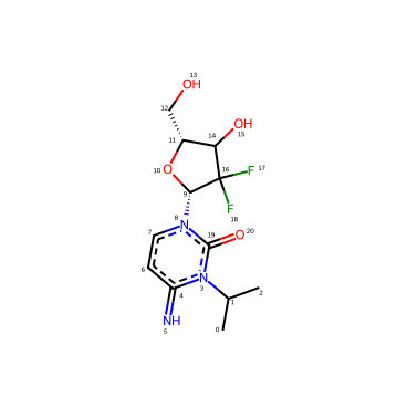 CC(C)n1c(=N)ccn([C@@H]2O[C@H](CO)C(O)C2(F)F)c1=O